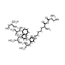 CC(C)C[C@@H](N)C(=O)OC(=O)[C@@H](N)CCCCN.CC(C)C[C@H](N)C(=O)O.N[C@@H](Cc1c[nH]cn1)C(=O)O.N[C@H](CO)C(=O)O.N[C@H](Cc1c[nH]c2ccccc12)C(=O)O